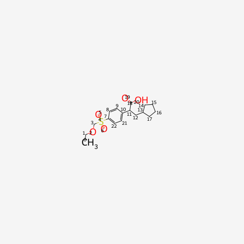 CCOCS(=O)(=O)c1ccc(C(CC2CCCC2)C(=O)O)cc1